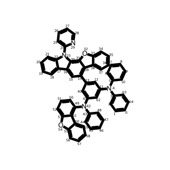 c1ccc(N(c2ccccc2)c2cc(-c3cc4c5ccccc5n(-c5ccccn5)c4c4oc5ccccc5c34)cc(N(c3ccccc3)c3cccc4oc5ccccc5c34)c2)cc1